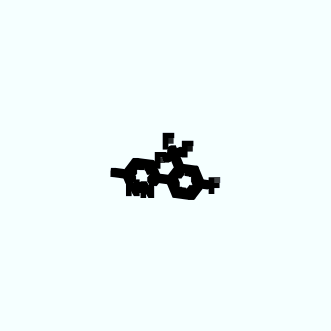 Cc1ccc(-c2ccc(F)cc2C(F)(F)F)nn1